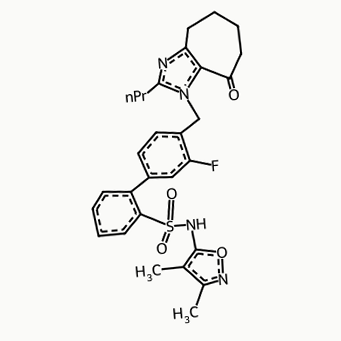 CCCc1nc2c(n1Cc1ccc(-c3ccccc3S(=O)(=O)Nc3onc(C)c3C)cc1F)C(=O)CCCC2